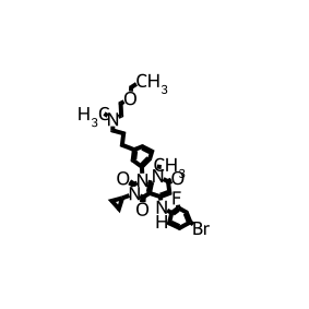 CCOCCN(C)CCCc1cccc(-n2c(=O)n(C3CC3)c(=O)c3c(Nc4ccc(Br)cc4F)cc(=O)n(C)c32)c1